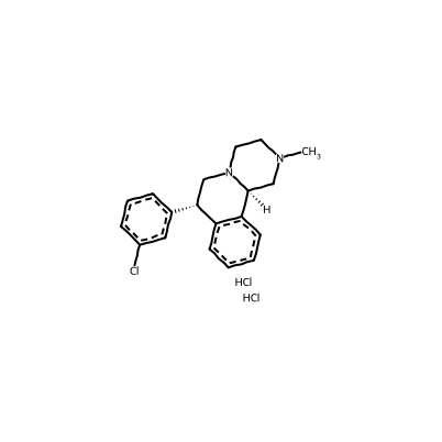 CN1CCN2C[C@@H](c3cccc(Cl)c3)c3ccccc3[C@@H]2C1.Cl.Cl